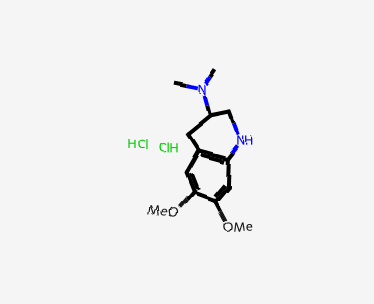 COc1cc2c(cc1OC)NCC(N(C)C)C2.Cl.Cl